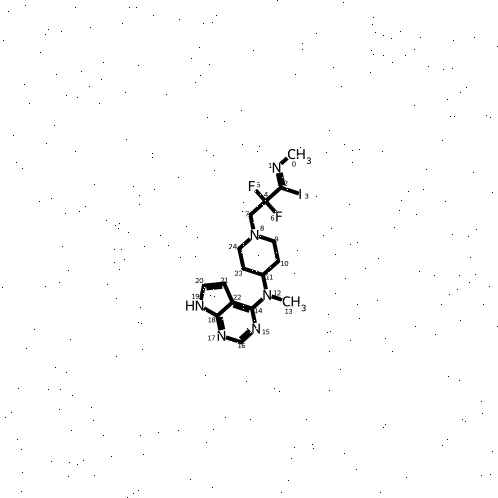 C/N=C(\I)C(F)(F)CN1CCC(N(C)c2ncnc3[nH]ccc23)CC1